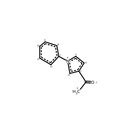 CC(=O)c1ccn(-c2ccccc2)c1